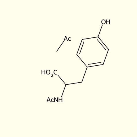 CC(=O)NC(Cc1ccc(O)cc1)C(=O)O.CC(C)=O